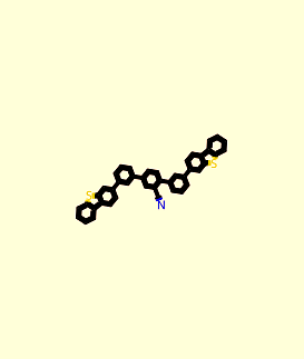 N#Cc1cc(-c2cccc(-c3ccc4c(c3)sc3ccccc34)c2)ccc1-c1cccc(-c2ccc3c(c2)sc2ccccc23)c1